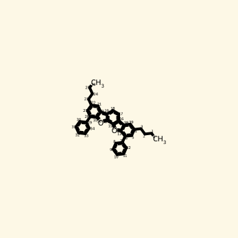 CCCCc1cc(-c2ccccc2)c2oc3c(ccc4c5cc(CCCC)cc(-c6ccccc6)c5oc43)c2c1